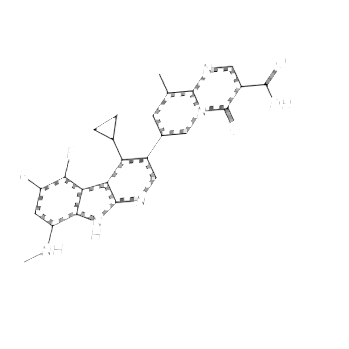 CNc1cc(F)c(F)c2c1[nH]c1ncc(-c3cc(C)c4ncc(C(=O)O)c(=O)n4c3)c(C3CC3)c12